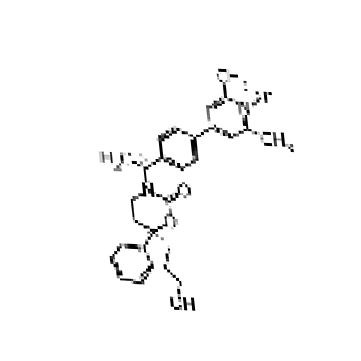 Cc1cc(-c2ccc([C@H](C)N3CC[C@](CCCO)(c4ccccc4)OC3=O)cc2)cc(C)[n+]1[O-]